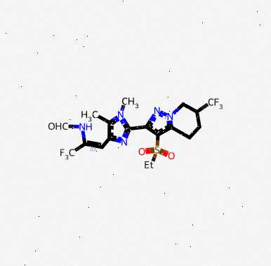 CCS(=O)(=O)c1c(-c2nc(/C=C(\NC=O)C(F)(F)F)c(C)n2C)nn2c1CCC(C(F)(F)F)C2